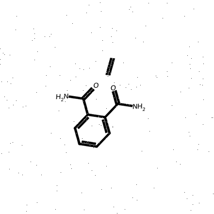 C=C.NC(=O)c1ccccc1C(N)=O